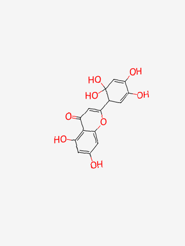 O=c1cc(C2C=C(O)C(O)=CC2(O)O)oc2cc(O)cc(O)c12